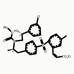 CCOC(=O)/C=C\c1cc(C)ccc1S(=O)(=O)c1ccc(C[C@@H](C)N(C[C@H](O)c2cccc(Cl)c2)C(=O)OC(C)(C)C)cc1